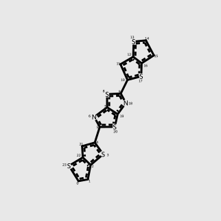 c1cc2sc(-c3nc4sc(-c5cc6sccc6s5)nc4s3)cc2s1